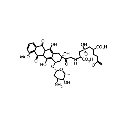 C=C(O)CCC(CP(=O)(O)CC(NCC(=O)[C@@]1(O)CC2=C(O)C3C(=O)c4cccc(OC)c4C(=O)C3C(O)=C2[C@H](O[C@H]2CC(N)C(O)[C@@H](C)O2)C1)C(=O)O)C(=O)O